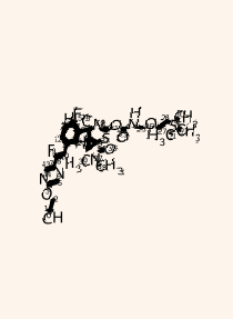 C#CCOc1cnc(/C(F)=C/c2ccc(F)c([C@@]3(C)N=C(OC(=O)NCOCC[Si](C)(C)C)S[C@@]4(C(=O)N(C)C)C[C@H]43)c2)cn1